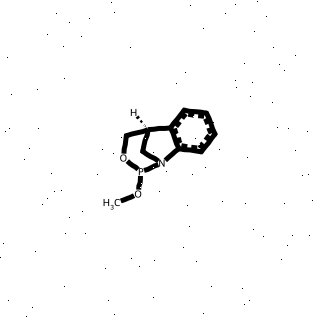 COP1OC[C@@H]2CN1c1ccccc12